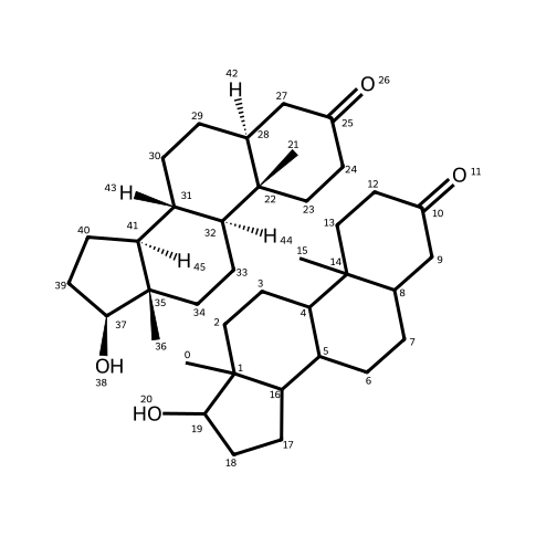 CC12CCC3C(CCC4CC(=O)CCC43C)C1CCC2O.C[C@]12CCC(=O)C[C@@H]1CC[C@@H]1[C@@H]2CC[C@]2(C)[C@@H](O)CC[C@@H]12